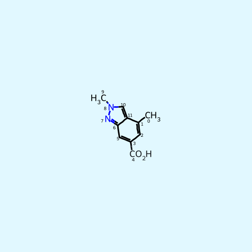 Cc1cc(C(=O)O)cc2nn(C)cc12